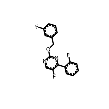 Fc1cccc(COc2ncc(F)c(-c3ccccc3F)n2)c1